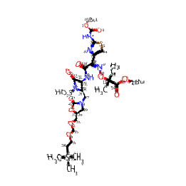 CC(C)(C)OC(=O)Nc1nc(C(=NOC(C)(C)C(=O)OC(C)(C)C)C(=O)N[C@@H]2C(=O)N(S(=O)(=O)O)[C@@H]2CN2C[C@@H](COCOCC[Si](C)(C)C)OC2=O)cs1